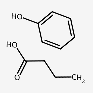 CCCC(=O)O.Oc1ccccc1